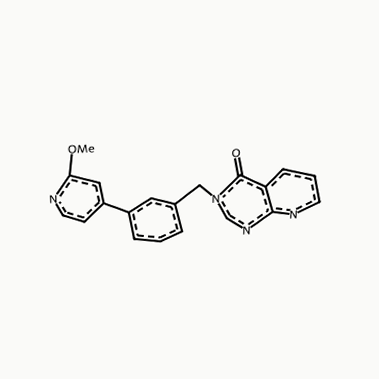 COc1cc(-c2cccc(Cn3cnc4ncccc4c3=O)c2)ccn1